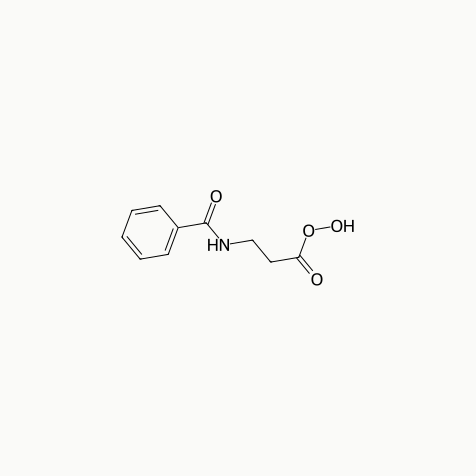 O=C(CCNC(=O)c1ccccc1)OO